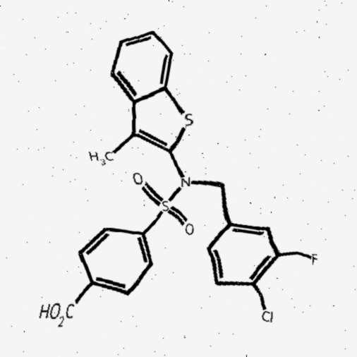 Cc1c(N(Cc2ccc(Cl)c(F)c2)S(=O)(=O)c2ccc(C(=O)O)cc2)sc2ccccc12